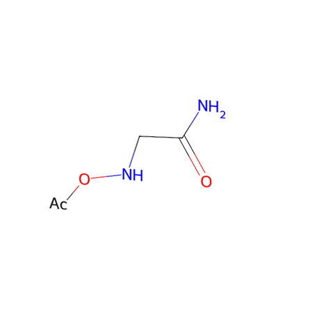 CC(=O)ONCC(N)=O